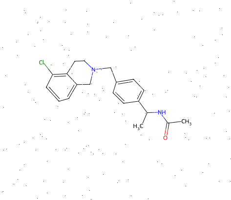 CC(=O)NC(C)c1ccc(CN2CCc3c(Cl)cccc3C2)cc1